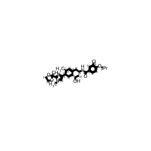 CC(C)Oc1ccc(C(=O)N[C@H](CCO)CC2=C[C@H](C)C(c3cn(C)c(C4(C)OCCO4)n3)C=C2)cc1Cl